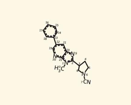 Cn1c(C2CCN(C#N)C2)nc2cc(-c3ccccc3)cnc21